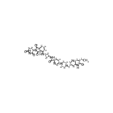 CCc1cc2ncc(CN3CCN(c4ccc(C(=O)N[C@H]5C[C@@H](Nc6cccc7c6C(=O)N(C6CCC(=O)NC6=O)C7=O)C5)nc4)CC3)cc2[nH]c1=O